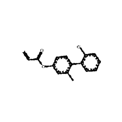 C=CC(=O)Oc1ccc(-c2ccccc2Cl)c(C)c1